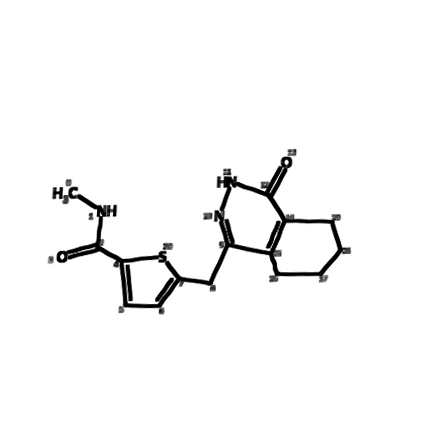 CNC(=O)c1ccc(Cc2n[nH]c(=O)c3c2CCCC3)s1